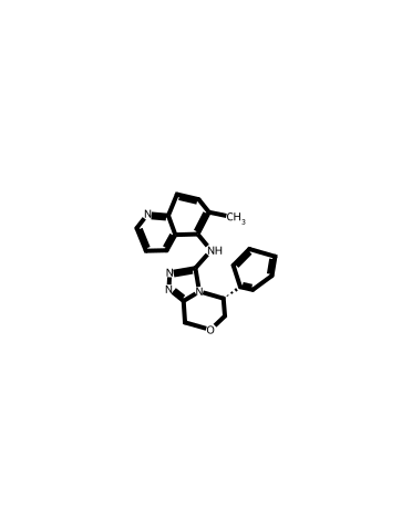 Cc1ccc2ncccc2c1Nc1nnc2n1[C@H](c1ccccc1)COC2